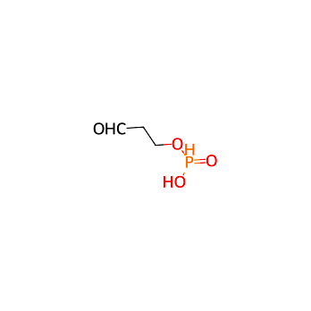 O=CCCO[PH](=O)O